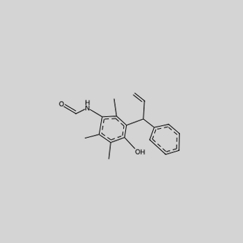 C=CC(c1ccccc1)c1c(C)c(NC=O)c(C)c(C)c1O